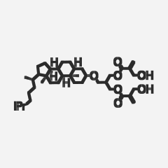 C=C(CO)C(=O)OCC(COC(=O)C(=C)CO)CO[C@H]1CC[C@@]2(C)[C@@H](CC[C@@H]3[C@@H]2CC[C@]2(C)C([C@H](C)CCCC(C)C)CC[C@@H]32)C1